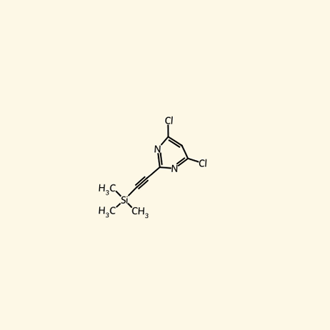 C[Si](C)(C)C#Cc1nc(Cl)cc(Cl)n1